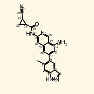 Cc1cc2[nH]ncc2cc1-c1cc(N)c2cnc(NC(=O)C3CC3C#N)cc2c1